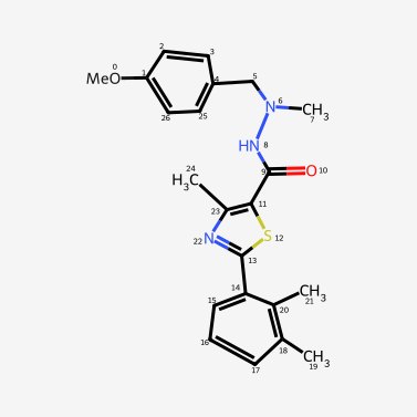 COc1ccc(CN(C)NC(=O)c2sc(-c3cccc(C)c3C)nc2C)cc1